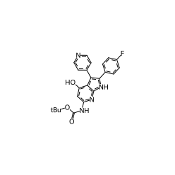 CC(C)(C)OC(=O)Nc1cc(O)c2c(-c3ccncc3)c(-c3ccc(F)cc3)[nH]c2n1